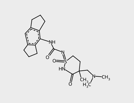 CN(C)CC1(C)CCS(=O)(=NC(=O)Nc2c3c(cc4c2CCC4)CCC3)NC1=O